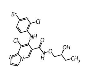 CC[C@H](O)CONC(=O)c1cn2ccnc2c(Cl)c1Nc1ccc(Br)cc1Cl